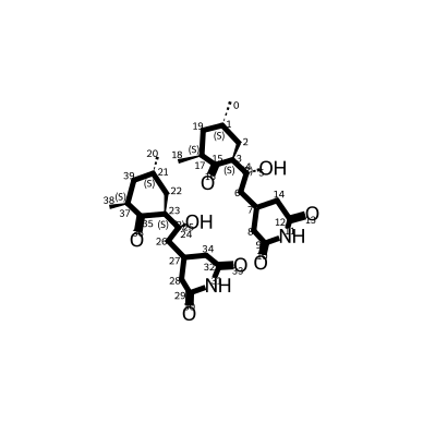 C[C@@H]1C[C@@H]([C@H](O)CC2CC(=O)NC(=O)C2)C(=O)[C@@H](C)C1.C[C@@H]1C[C@@H]([C@H](O)CC2CC(=O)NC(=O)C2)C(=O)[C@@H](C)C1